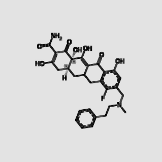 CN(CCc1ccccc1)Cc1cc(O)c2c(c1F)CC1C[C@H]3CC(O)=C(C(N)=O)C(=O)[C@@]3(O)C(O)=C1C2=O